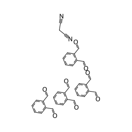 N#CCC#N.O=Cc1ccccc1C=O.O=Cc1ccccc1C=O.O=Cc1ccccc1C=O.O=Cc1ccccc1C=O